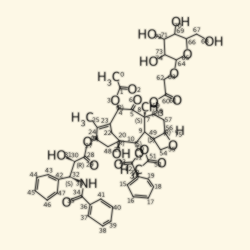 CC(=O)O[C@H]1C(=O)[C@@]2(C)C([C@H](OC(=O)c3ccccc3)[C@@]3(O)CC1=C(C)[C@@H](OC(=O)[C@H](O)[C@@H](NC(=O)c1ccccc1)c1ccccc1)C3)[C@]1(OC(C)=O)CO[C@@H]1C[C@H]2OC(=O)COC1OC(CO)C(O)C(O)C1O